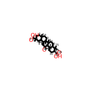 CC1(C(=O)O)CCC2(C)CCC3(C)C(=CC(=O)[C@H]4C3(C)CCC3C(C)(C)[C@@H](C(=O)O)CC[C@@]34C)[C@@H]2C1